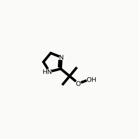 CC(C)(OO)C1=NCCN1